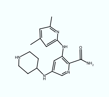 Cc1cc(C)nc(Nc2cc(NC3CCNCC3)cnc2C(N)=O)c1